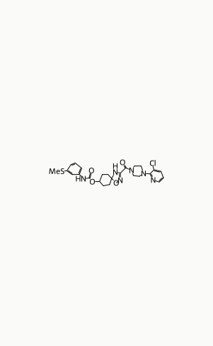 CSc1cccc(NC(=O)OC2CCC3(CC2)NC(C(=O)N2CCN(c4ncccc4Cl)CC2)=NO3)c1